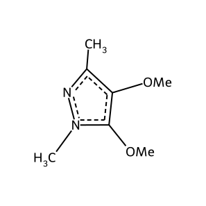 COc1c(C)nn(C)c1OC